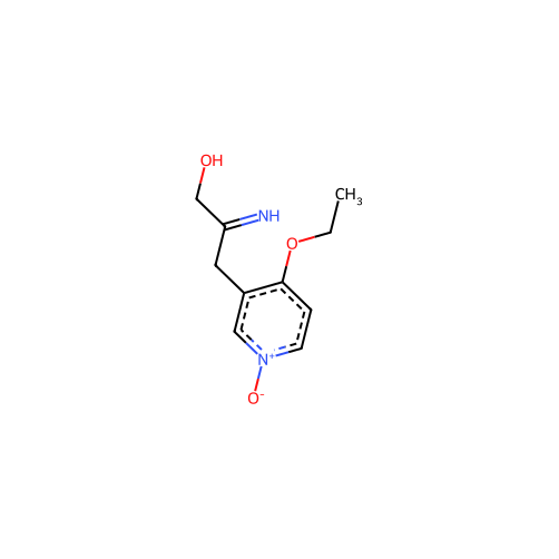 CCOc1cc[n+]([O-])cc1CC(=N)CO